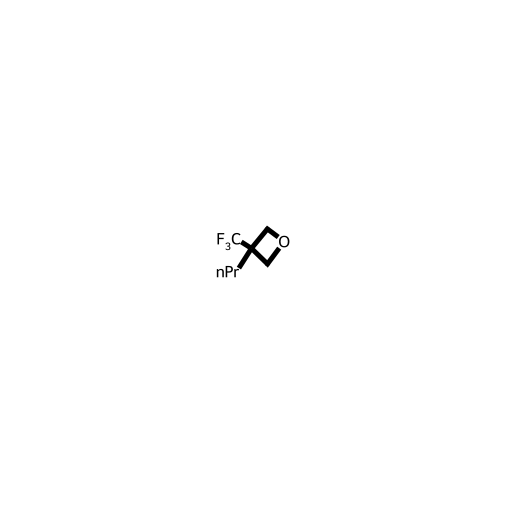 CCCC1(C(F)(F)F)COC1